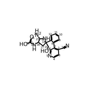 N#Cc1ccncc1-c1ccccc1C1(CO)CC(NC(=O)O)C(N)N1